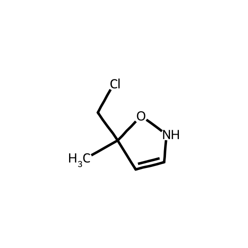 CC1(CCl)C=CNO1